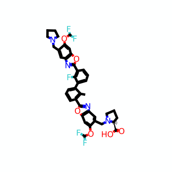 Cc1c(-c2nc3cc(CN4CCC[C@H]4C(=O)O)c(OC(F)F)cc3o2)cccc1-c1cccc(-c2nc3cc(CN4CCCC4)c(OC(F)F)cc3o2)c1F